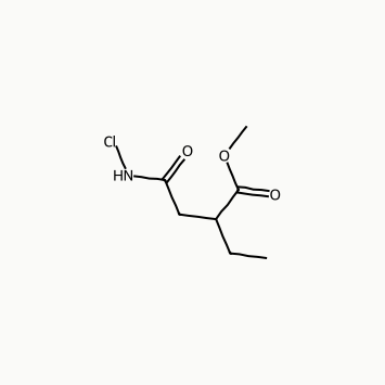 CCC(CC(=O)NCl)C(=O)OC